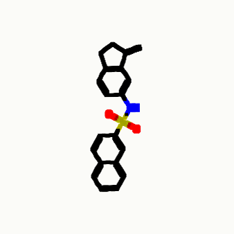 C=C1CCc2ccc(NS(=O)(=O)c3ccc4ccccc4c3)cc21